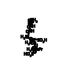 CCCN1/C(=C/C=C/C=C/C2=[N+](CCCS(=O)(=O)O)c3ccc(CN(C)CCCC(=O)NCCC(=O)Nc4nnc(S(N)(=O)=O)s4)cc3C2(C)C)C(C)(C)c2cc(S(=O)(=O)O)ccc21